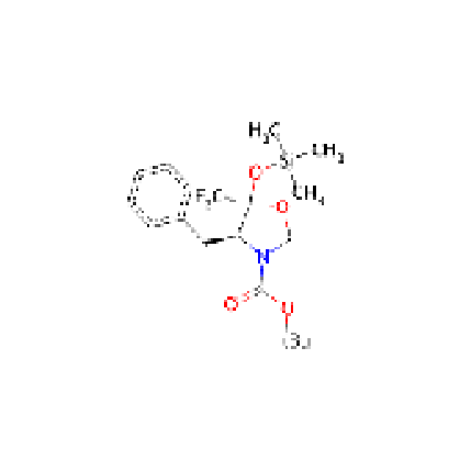 CC(C)(C)OC(=O)N1CO[C@@](O[Si](C)(C)C)(C(F)(F)F)[C@@H]1Cc1ccccc1